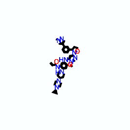 C=CC(=O)Nc1cc(Nc2cc(N3OCCC3c3cccc(-c4cnn(C)c4)c3)ncn2)c(OC)cc1N1CCC(N2CCN(C3CC3)CC2)CC1